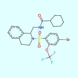 O=C(NCC1c2ccccc2CCN1S(=O)(=O)c1ccc(Br)cc1OC(F)(F)F)C1CCCCC1